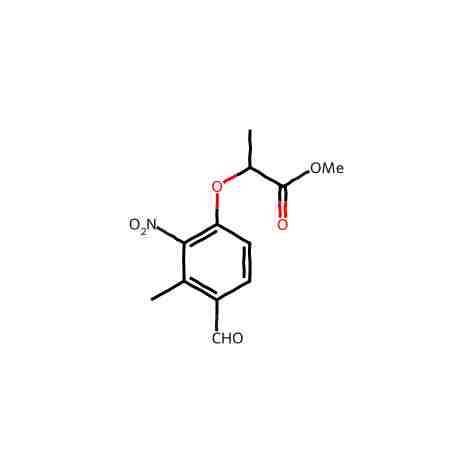 COC(=O)C(C)Oc1ccc(C=O)c(C)c1[N+](=O)[O-]